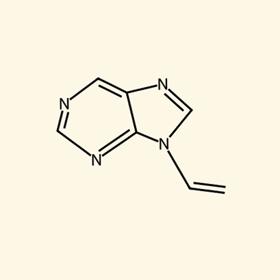 C=Cn1cnc2cncnc21